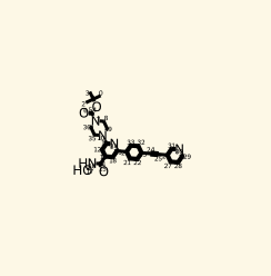 CC(C)(C)OC(=O)N1CCN(c2cc(C(=O)NO)cc(-c3ccc(C#Cc4cccnc4)cc3)n2)CC1